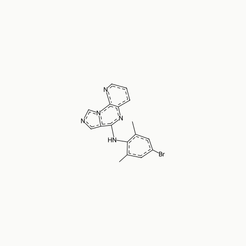 Cc1cc(Br)cc(C)c1Nc1nc2cccnc2n2cncc12